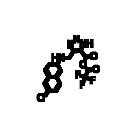 O=C(OC(=O)C(F)(F)F)c1[nH]nnc1CNc1ccc2cc(Cl)ccc2c1